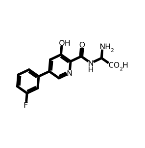 NC(NC(=O)c1ncc(-c2cccc(F)c2)cc1O)C(=O)O